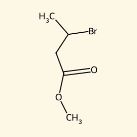 COC(=O)CC(C)Br